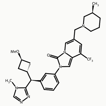 CO[C@H]1C[C@H]([C@@H](c2cccc(-n3cc4c(C(F)(F)F)cc(CN5CCC[C@H](C)C5)cn4c3=O)c2)c2nncn2C)C1